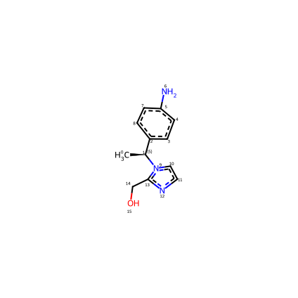 C[C@@H](c1ccc(N)cc1)n1ccnc1CO